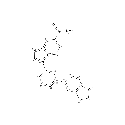 CNC(=O)c1ccc2c(c1)ncn2-c1cccc(-c2ccc3c(c2)OCO3)c1